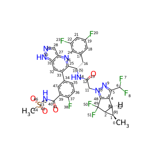 C[C@H]1C2[C@H]1c1c(C(F)F)nn(CC(=O)N[C@@H](Cc3cc(F)cc(F)c3)c3nc4cn[nH]c4cc3-c3ccc(F)c(C(=O)NS(C)(=O)=O)c3)c1C2(F)F